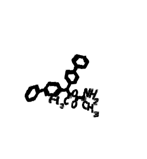 C[C@H](N)C(=O)O[C@@H](C)C(c1ccc(-c2ccccc2)cc1)c1ccc(-c2ccccc2)cc1